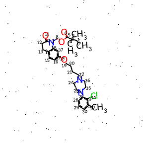 CCC(C)(C)C(=O)OCN1C(=O)CCc2ccc(OCCCCN3CCN(c4cccc(C)c4Cl)CC3)cc21